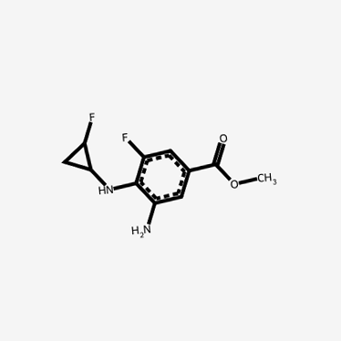 COC(=O)c1cc(N)c(NC2CC2F)c(F)c1